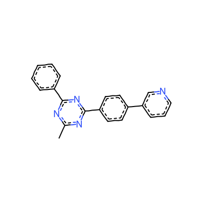 Cc1nc(-c2ccccc2)nc(-c2ccc(-c3cccnc3)cc2)n1